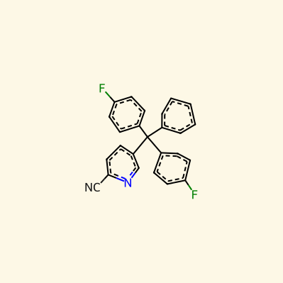 N#Cc1ccc(C(c2ccccc2)(c2ccc(F)cc2)c2ccc(F)cc2)cn1